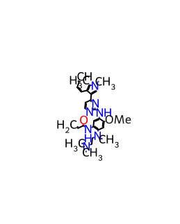 C#C/C=C\c1c(-c2ccnc(Nc3cc(NC(=O)C=C)c(N(C)CCN(C)C)cc3OC)n2)cn(C)c1C